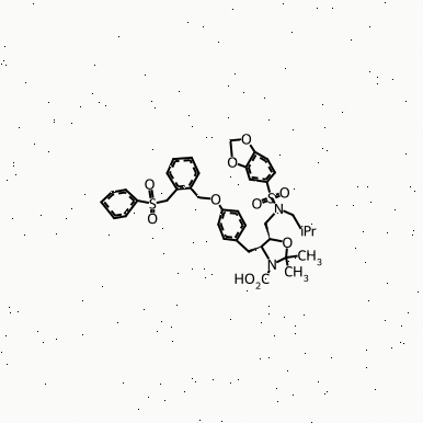 CC(C)CN(C[C@H]1OC(C)(C)N(C(=O)O)[C@H]1Cc1ccc(OCc2ccccc2CS(=O)(=O)c2ccccc2)cc1)S(=O)(=O)c1ccc2c(c1)OCO2